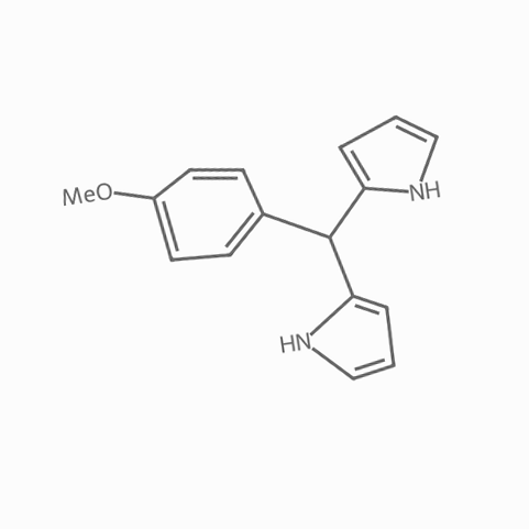 COc1ccc(C(c2ccc[nH]2)c2ccc[nH]2)cc1